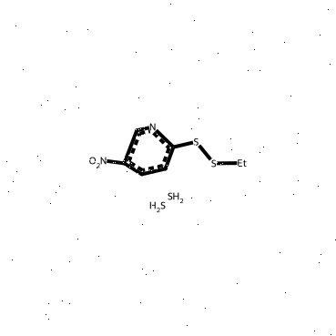 CCSSc1ccc([N+](=O)[O-])cn1.S.S